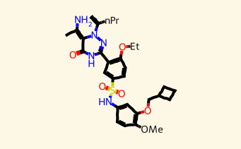 C=C(CCC)N1N=C(c2cc(S(=O)(=O)Nc3ccc(OC)c(OCC4CCC4)c3)ccc2OCC)NC(=O)/C1=C(\C)N